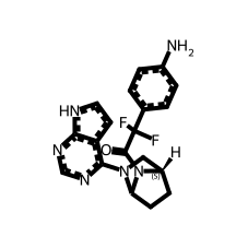 Nc1ccc(C(F)(F)C(=O)N2C3CC[C@H]2CN3c2ncnc3[nH]ccc23)cc1